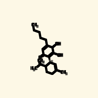 C=C(C)C1CCC(C)=C[C@H]1C1=C(O)C(O)C(CCCCC)=CC1=O